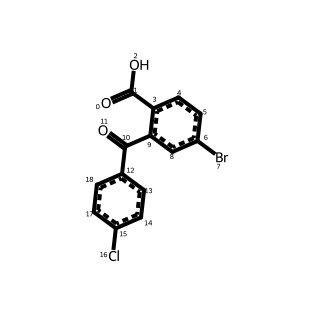 O=C(O)c1ccc(Br)cc1C(=O)c1ccc(Cl)cc1